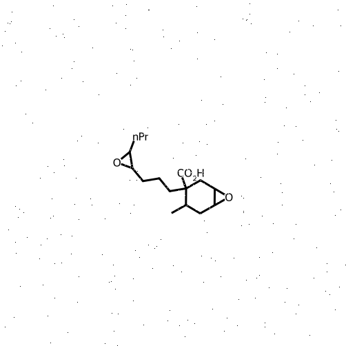 CCCC1OC1CCCC1(C(=O)O)CC2OC2CC1C